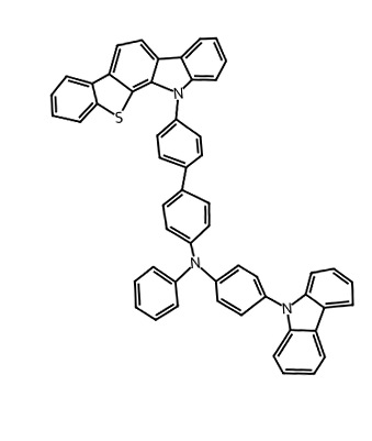 c1ccc(N(c2ccc(-c3ccc(-n4c5ccccc5c5ccc6c7ccccc7sc6c54)cc3)cc2)c2ccc(-n3c4ccccc4c4ccccc43)cc2)cc1